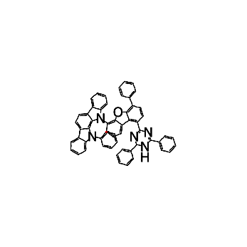 c1ccc(C2=NC(c3ccc(-c4ccccc4)c4oc5c(-n6c7ccccc7c7ccc8c9ccccc9n(-c9ccccc9)c8c76)cccc5c34)=NC(c3ccccc3)N2)cc1